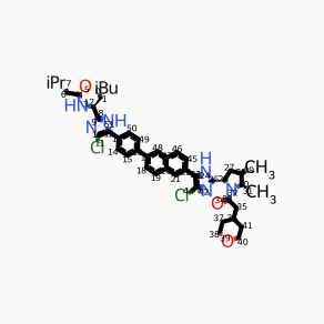 CCC(C)C[C@H](NC(=O)CC(C)C)c1nc(Cl)c(-c2ccc(-c3ccc4cc(-c5[nH]c([C@@H]6CC(C)[C@@H](C)N6C(=O)CC6CCOCC6)nc5Cl)ccc4c3)cc2)[nH]1